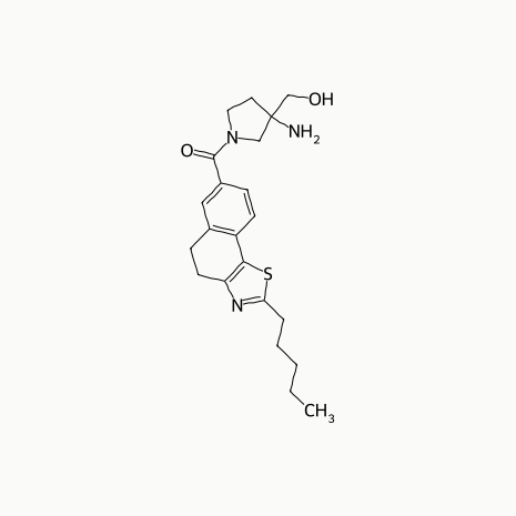 CCCCCc1nc2c(s1)-c1ccc(C(=O)N3CCC(N)(CO)C3)cc1CC2